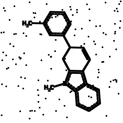 Cc1cccc(C2C=Cc3c(n(C)c4ccccc34)C2)c1